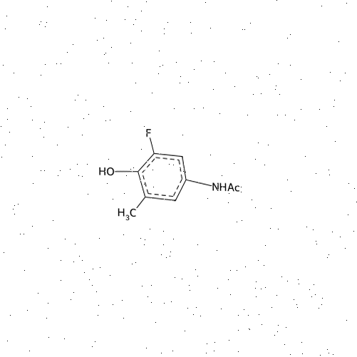 CC(=O)Nc1cc(C)c(O)c(F)c1